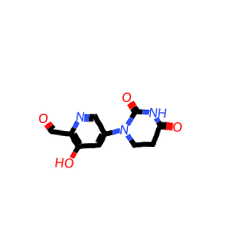 O=Cc1ncc(N2CCC(=O)NC2=O)cc1O